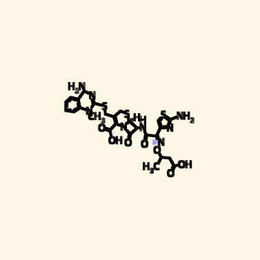 CC(CC(=O)O)O/N=C(\C(=O)NC1C(=O)N2C(C(=O)O)=C(CSC3=NC(N)c4ccccc4N3C)CS[C@@H]12)c1csc(N)n1